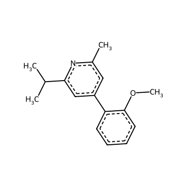 COc1ccccc1-c1cc(C)nc(C(C)C)c1